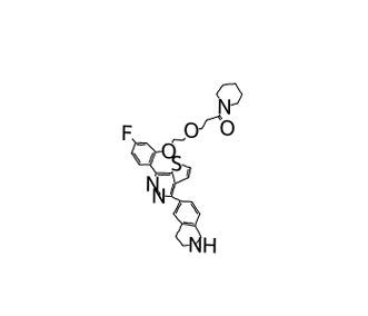 O=C(CCOCCOc1cc(F)ccc1-c1nnc(-c2ccc3c(c2)CCNC3)c2ccsc12)N1CCCCC1